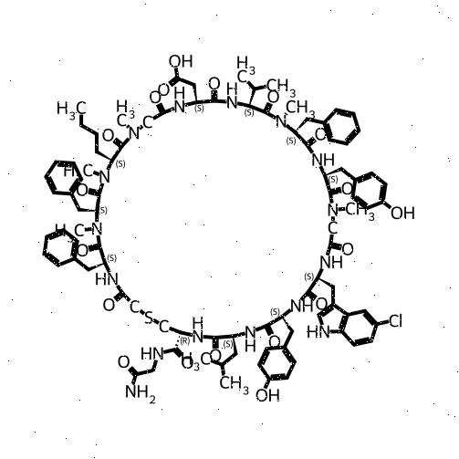 CCCC[C@H]1C(=O)N(C)CC(=O)N[C@@H](CC(=O)O)C(=O)N[C@@H](C(C)C)C(=O)N(C)[C@@H](Cc2ccccc2)C(=O)N[C@@H](Cc2ccc(O)cc2)C(=O)N(C)CC(=O)N[C@@H](Cc2c[nH]c3ccc(Cl)cc23)C(=O)N[C@@H](Cc2ccc(O)cc2)C(=O)N[C@@H](CC(C)C)C(=O)N[C@H](C(=O)NCC(N)=O)CSCC(=O)N[C@@H](Cc2ccccc2)C(=O)N(C)[C@@H](Cc2ccccc2)C(=O)N1C